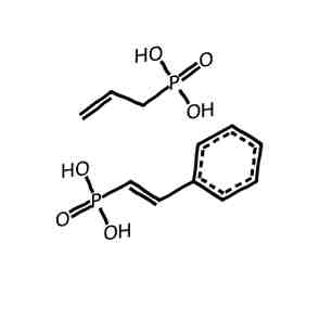 C=CCP(=O)(O)O.O=P(O)(O)C=Cc1ccccc1